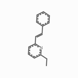 CCc1cccc(C=Cc2ccccc2)n1